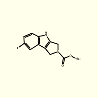 CC(C)(C)OC(=O)N1Cc2[nH]c3ccc(F)cc3c2C1